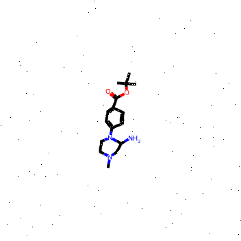 CN1CCN(c2ccc(C(=O)OC(C)(C)C)cc2)C(N)C1